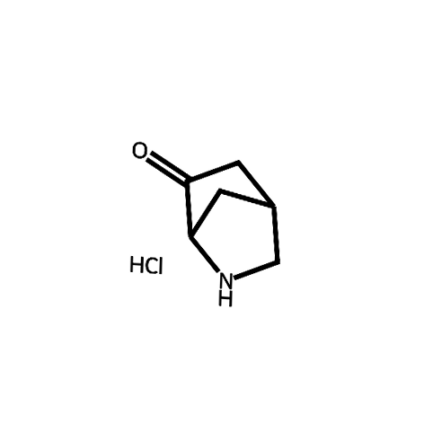 Cl.O=C1CC2CNC1C2